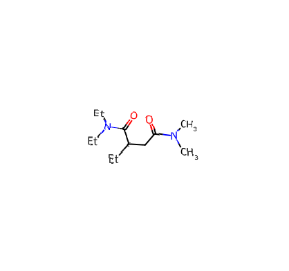 CC[C](CC(=O)N(C)C)C(=O)N(CC)CC